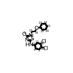 O=c1nc(Nc2ccc(Cl)c(Cl)c2)sn1CCOc1ccccc1